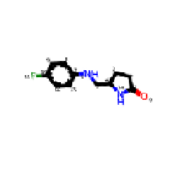 O=C1CCC(CNc2ccc(F)cc2)N1